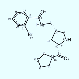 O=C(NC[C@@H]1CN[C@H](C(=O)N2CCSC2)C1)c1ccccc1Br